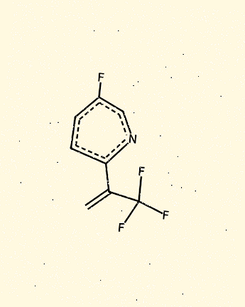 C=C(c1ccc(F)cn1)C(F)(F)F